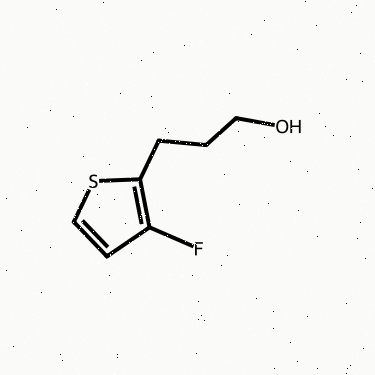 OCCCc1sccc1F